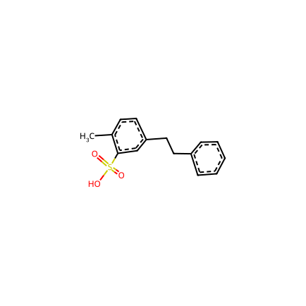 Cc1ccc(CCc2ccccc2)cc1S(=O)(=O)O